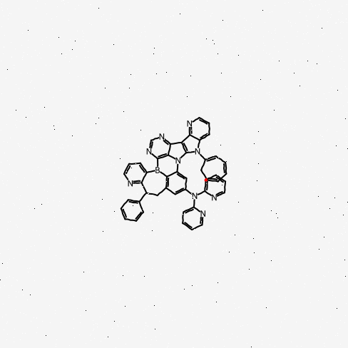 C1=CC=C(n2c3cccnc3c3c4ncnc5c4n(c32)-c2cc(N(c3ccccn3)c3ccccn3)cc3c2B5c2cccnc2C(c2ccccc2)C3)CC=C1